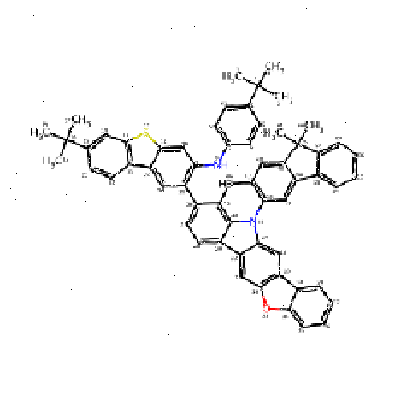 CC(C)(C)c1ccc(Nc2cc3sc4cc(C(C)(C)C)ccc4c3cc2-c2ccc3c4cc5oc6ccccc6c5cc4n4c3c2Bc2cc3c(cc2-4)-c2ccccc2C3(C)C)cc1